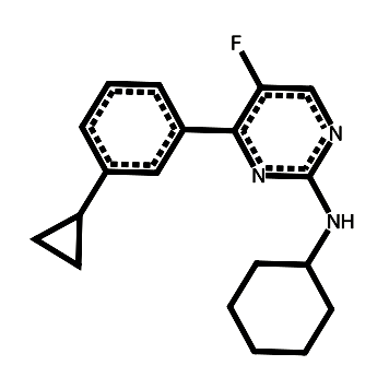 Fc1cnc(NC2CCCCC2)nc1-c1cccc(C2CC2)c1